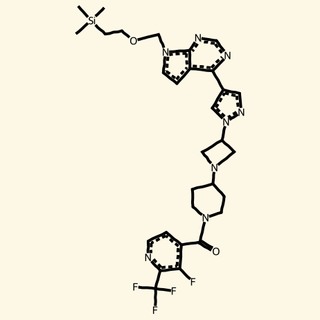 C[Si](C)(C)CCOCn1ccc2c(-c3cnn(C4CN(C5CCN(C(=O)c6ccnc(C(F)(F)F)c6F)CC5)C4)c3)ncnc21